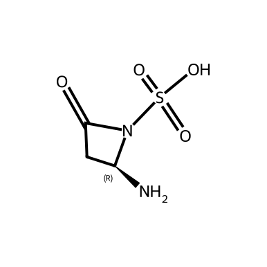 N[C@H]1CC(=O)N1S(=O)(=O)O